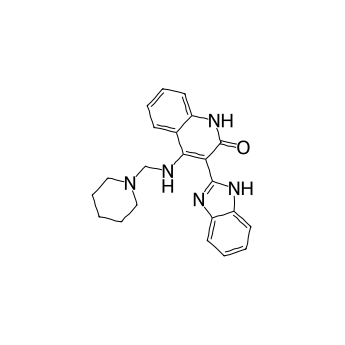 O=c1[nH]c2ccccc2c(NCN2CCCCC2)c1-c1nc2ccccc2[nH]1